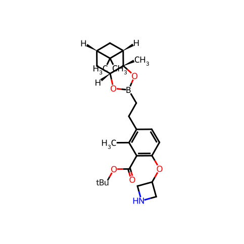 Cc1c(CCB2O[C@@H]3C[C@@H]4C[C@@H](C4(C)C)[C@]3(C)O2)ccc(OC2CNC2)c1C(=O)OC(C)(C)C